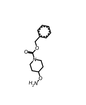 NOC1CCN(C(=O)OCc2ccccc2)CC1